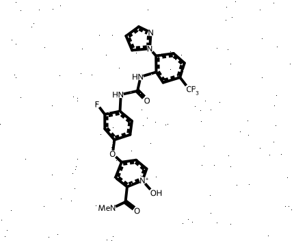 CNC(=O)c1cc(Oc2ccc(NC(=O)Nc3cc(C(F)(F)F)ccc3-n3cccn3)c(F)c2)cc[n+]1O